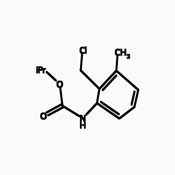 Cc1cccc(NC(=O)OC(C)C)c1CCl